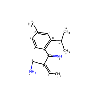 C/C=C(/CN)C(=N)c1ccc(C)cc1C(C)C